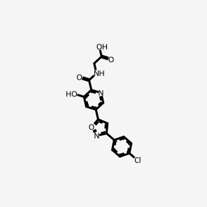 O=C(O)CNC(=O)c1ncc(-c2cc(-c3ccc(Cl)cc3)no2)cc1O